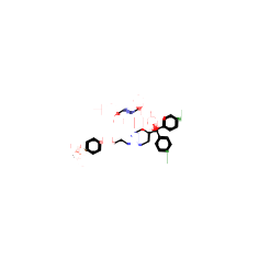 CS(=O)(=O)c1ccc(OCCCN2CCC(C(O)(c3ccc(F)cc3)c3ccc(F)cc3)CC2)cc1.O=C(O)/C=C/C(=O)O